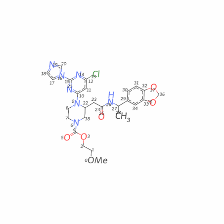 COCCOC(=O)N1CCN(c2cc(Cl)nc(-n3ccnc3)n2)C(CC(=O)NC(C)c2ccc3c(c2)OCO3)C1